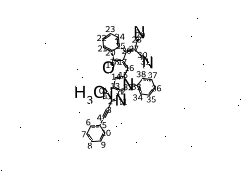 Cn1c(C#Cc2ccccc2)nc2c1cc(/C=C1\C(=O)c3ccccc3C1=C(C#N)C#N)n2-c1ccccc1